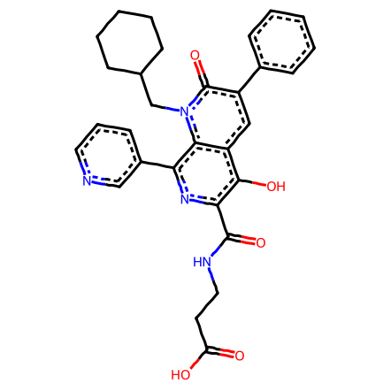 O=C(O)CCNC(=O)c1nc(-c2cccnc2)c2c(cc(-c3ccccc3)c(=O)n2CC2CCCCC2)c1O